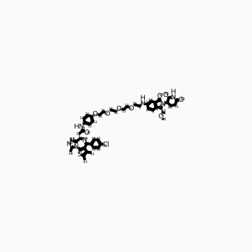 CO/N=C1\c2ccc(NCCOCCOCCOCCOc3ccc(NC(=O)C[C@@H]4N=C(c5ccc(Cl)cc5)c5c(sc(C)c5C)-n5c(C)nnc54)cc3)cc2C(=O)N1C1CCC(=O)NC1=O